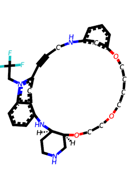 FC(F)(F)Cn1c2cc3c(cccc31)N[C@@H]1CCNC[C@@H]1OCCOCCCCOc1cccc(c1)NCC#C2